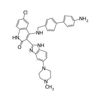 CN1CCN(c2ccc3[nH]c(-c4c(NCc5ccc(-c6ccc(N)cc6)cc5)c5cc(Cl)ccc5[nH]c4=O)nc3c2)CC1